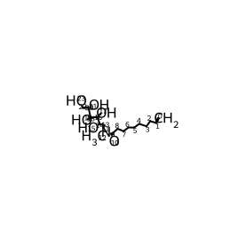 C=CCCCCCCCC(=O)N(C)CC(O)C(O)C(O)C(O)CO